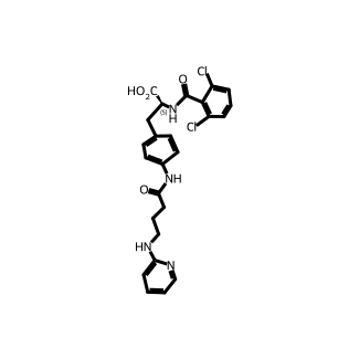 O=C(CCCNc1ccccn1)Nc1ccc(C[C@H](NC(=O)c2c(Cl)cccc2Cl)C(=O)O)cc1